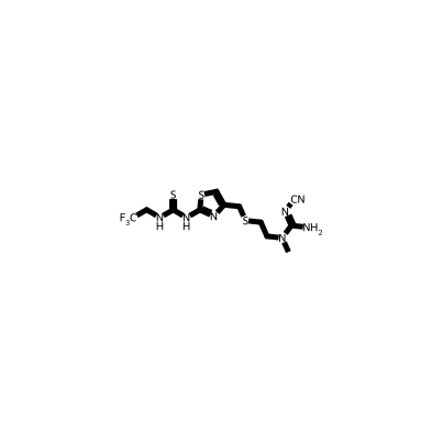 CN(CCSCc1csc(NC(=S)NCC(F)(F)F)n1)C(N)=NC#N